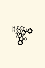 CC(C)(C)OC(=O)N(C/C(=C/F)c1ccccc1)N1C(=O)c2ccccc2C1=O